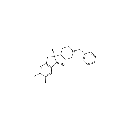 Cc1cc2c(cc1C)C(=O)C(F)(C1CCN(Cc3ccccc3)CC1)C2